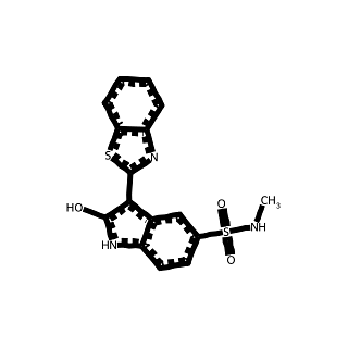 CNS(=O)(=O)c1ccc2[nH]c(O)c(-c3nc4ccccc4s3)c2c1